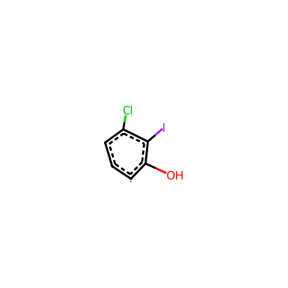 Oc1[c]ccc(Cl)c1I